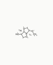 COC1CO[C@@H]2C(O)CO[C@]12I